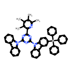 Cc1nc(-c2nc(-n3c4ccccc4c4ccccc43)nc(-n3c4ccccc4c4cc([Si](c5ccccc5)(c5ccccc5)c5ccccc5)ccc43)n2)c(C)c(C)c1C